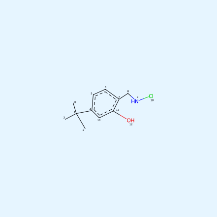 CC(C)(C)c1ccc(CNCl)c(O)c1